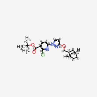 CC(C)(C)OC(=O)c1ccc(-n2ccc(OCC3C[C@H]4CC[C@H]3C4)n2)nc1Cl